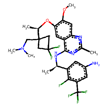 COc1cc2nc(C)nc(N[C@H](C)c3cc(N)cc(C(F)(F)F)c3F)c2cc1O[C@H](C)C1(CN(C)C)CC(F)(F)C1